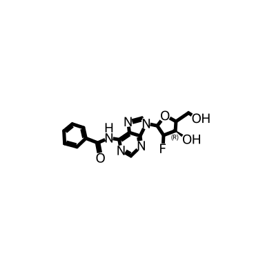 O=C(Nc1ncnc2c1ncn2C1OC(CO)[C@@H](O)C1F)c1ccccc1